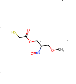 COCC(COC(=O)CS)N=O